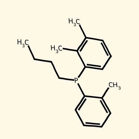 CCCCP(c1ccccc1C)c1cccc(C)c1C